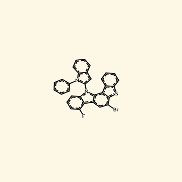 Fc1cccc2c1c1cc(Br)c3sc4ccccc4c3c1n2-c1cc2ccccc2n1-c1ccccc1